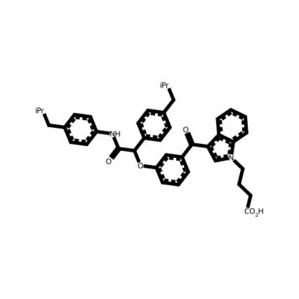 CC(C)Cc1ccc(NC(=O)C(Oc2cccc(C(=O)c3cn(CCCC(=O)O)c4ccccc34)c2)c2ccc(CC(C)C)cc2)cc1